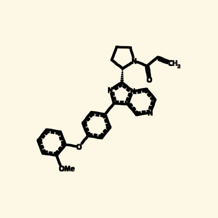 C=CC(=O)N1CCC[C@H]1c1nc(-c2ccc(Oc3ccccc3OC)cc2)c2cnccn12